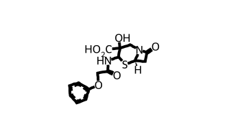 O=C(COc1ccccc1)NC1S[C@@H]2CC(=O)N2CC1(O)C(=O)O